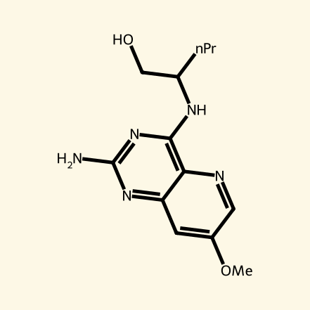 CCCC(CO)Nc1nc(N)nc2cc(OC)cnc12